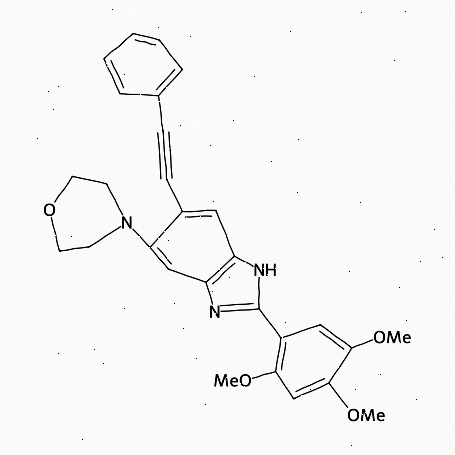 COc1cc(OC)c(-c2nc3cc(N4CCOCC4)c(C#Cc4ccccc4)cc3[nH]2)cc1OC